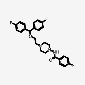 O=C(NN1CCN(CCOC(c2ccc(F)cc2)c2ccc(F)cc2)CC1)c1ccc(F)cc1